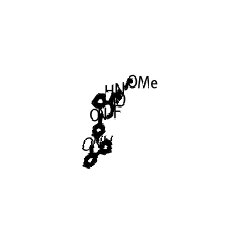 COCCNC(=O)C=C1c2ccccc2N(C(=O)c2ccc(NC(=O)c3ccccc3-c3ccccc3)cc2)CCC1(F)F